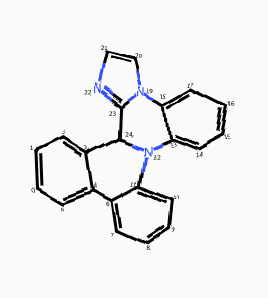 c1ccc2c(c1)-c1ccccc1N1c3ccccc3-n3ccnc3C21